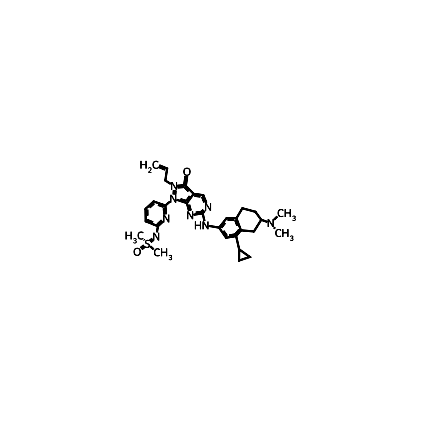 C=CCn1c(=O)c2cnc(Nc3cc4c(c(C5CC5)c3)CC(N(C)C)CC4)nc2n1-c1cccc(N=S(C)(C)=O)n1